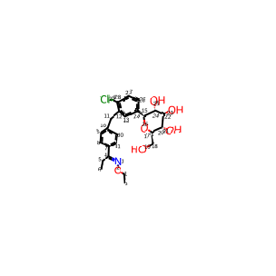 CCON=C(CC)c1ccc(Cc2cc([C@@H]3O[C@H](CO)[C@@H](O)[C@H](O)[C@H]3O)ccc2Cl)cc1